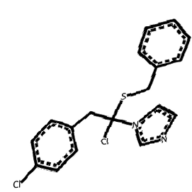 Clc1ccc(CC(Cl)(SCc2ccccc2)n2ccnc2)cc1